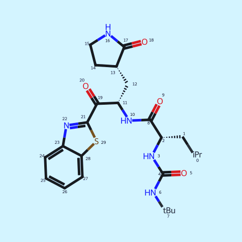 CC(C)C[C@H](NC(=O)NC(C)(C)C)C(=O)N[C@@H](C[C@@H]1CCNC1=O)C(=O)c1nc2ccccc2s1